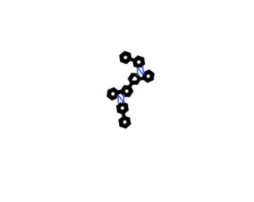 C1=CC2C(C=C1c1ccc3c(c1)c1ccccc1n3-c1ccc(-c3ccccc3)cc1)c1ccccc1N2c1cccc(-c2ccccc2)c1